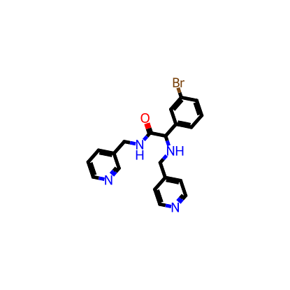 O=C(NCc1cccnc1)C(NCc1ccncc1)c1cccc(Br)c1